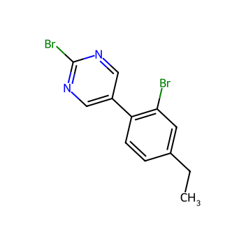 CCc1ccc(-c2cnc(Br)nc2)c(Br)c1